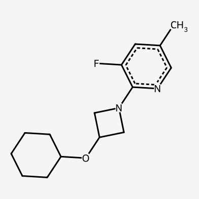 Cc1cnc(N2CC(OC3CCCCC3)C2)c(F)c1